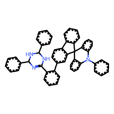 c1ccc(C2N=C(c3ccccc3-c3ccc4c(c3)C3(c5ccccc5-4)c4ccccc4N(c4ccccc4)c4ccccc43)NC(c3ccccc3)N2)cc1